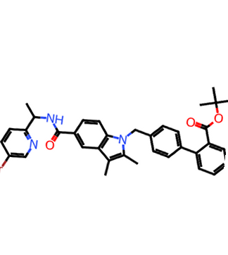 Cc1c(C)n(Cc2ccc(-c3ccccc3C(=O)OC(C)(C)C)cc2)c2ccc(C(=O)NC(C)c3ccc(Br)cn3)cc12